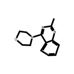 Cc1nc(N2CCOCC2)c2ccccc2n1